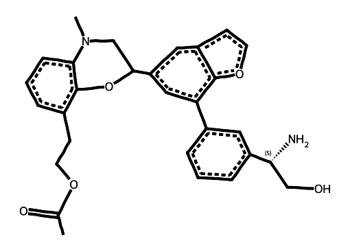 CC(=O)OCCc1cccc2c1OC(c1cc(-c3cccc([C@H](N)CO)c3)c3occc3c1)CN2C